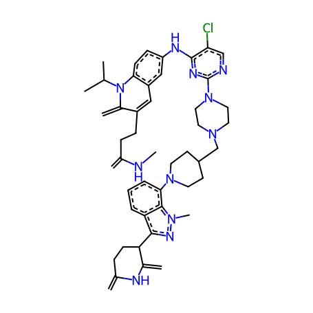 C=C(CCC1=Cc2cc(Nc3nc(N4CCN(CC5CCN(c6cccc7c(C8CCC(=C)NC8=C)nn(C)c67)CC5)CC4)ncc3Cl)ccc2N(C(C)C)C1=C)NC